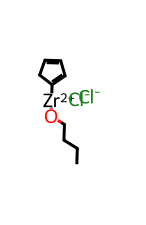 CCCC[O][Zr+2][C]1=CC=CC1.[Cl-].[Cl-]